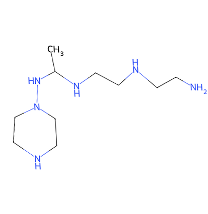 CC(NCCNCCN)NN1CCNCC1